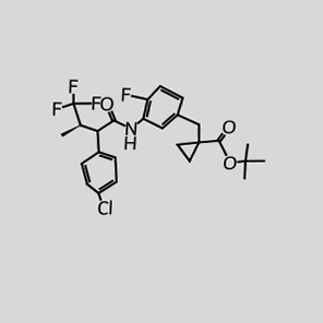 C[C@H](C(C(=O)Nc1cc(CC2(C(=O)OC(C)(C)C)CC2)ccc1F)c1ccc(Cl)cc1)C(F)(F)F